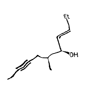 CC#CC[C@H](C)[C@H](O)/C=C/CC